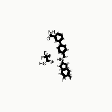 NC(=O)c1cccc(-c2ccc(CNC3Cc4cc(F)c(F)cc4C3)cc2)c1.O=C(O)C(F)(F)F